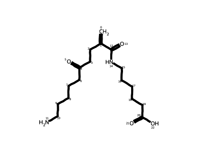 C=C(CCC(=O)CCCCCN)C(=O)NCCCCCC(=O)O